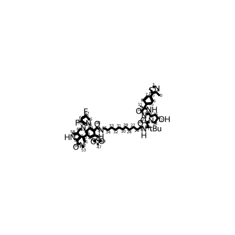 Cc1ncsc1-c1ccc([C@]2(C)NC(C3C[C@@H](O)CN3C(=O)C(NC(=O)CCCCCCCCCCNC(=O)c3cc4c(cc3CS(C)(=O)=O)-c3cn(C)c(=O)c5[nH]cc(c35)CN4c3ncc(F)cc3F)C(C)(C)C)=NC2=O)cc1